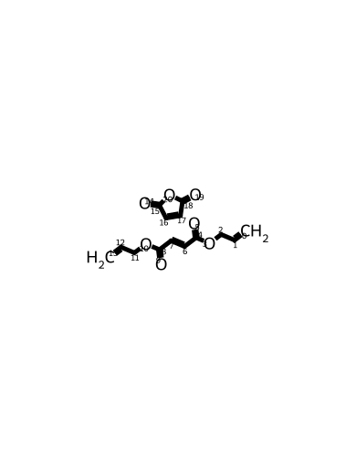 C=CCOC(=O)C=CC(=O)OCC=C.O=C1C=CC(=O)O1